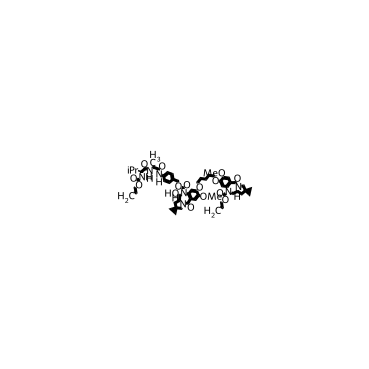 C=CCOC(=O)N[C@H](C(=O)N[C@@H](C)C(=O)Nc1ccc(COC(=O)N2c3cc(OCCCCCOc4cc5c(cc4OC)C(=O)N4CC6(CC6)C[C@H]4CN5C(=O)OCC=C)c(OC)cc3C(=O)N3CC4(CC4)C[C@H]3[C@@H]2O)cc1)C(C)C